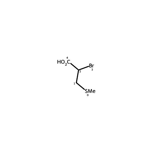 CSCC(Br)C(=O)O